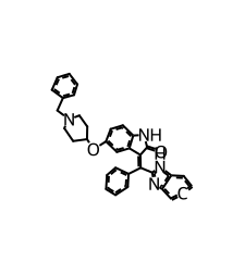 O=C1Nc2ccc(OC3CCN(Cc4ccccc4)CC3)cc2/C1=C(\c1ccccc1)c1nc2ccccc2[nH]1